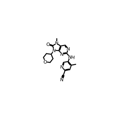 Cc1cc(C#N)ncc1Nc1ncc2c(n1)n(C1CCOCC1)c(=O)n2C